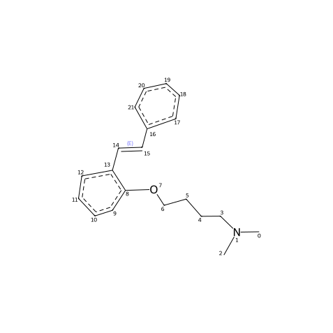 CN(C)CCCCOc1ccccc1/C=C/c1ccccc1